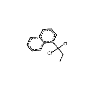 CCC(Cl)(Cl)c1cccc2ccccc12